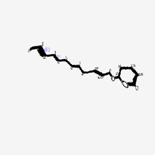 C/C=C/C=C/CCCCCCCOC1CCCCO1